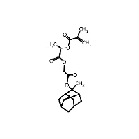 C=C(C)C(=O)OC(C)C(=O)OCC(=O)OC1(C)C2CC3CC(C2)CC1C3